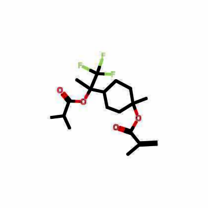 C=C(C)C(=O)OC1(C)CCC(C(C)(OC(=O)C(C)C)C(F)(F)F)CC1